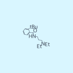 CCN(CC)CCCNC(=O)c1ccccc1C(C)(C)C